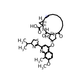 COc1ccc2c(O[C@@H]3C[C@H]4C(=O)N[C@]5(C(=O)O)C[C@H]5/C=C\CCCCCCC(=O)N4C3)cc(C3=NC(C(C)C)CS3)nc2c1C